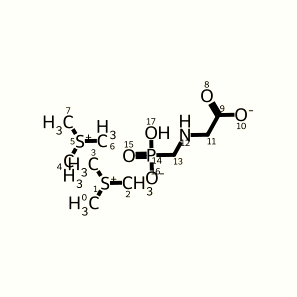 C[S+](C)C.C[S+](C)C.O=C([O-])CNCP(=O)([O-])O